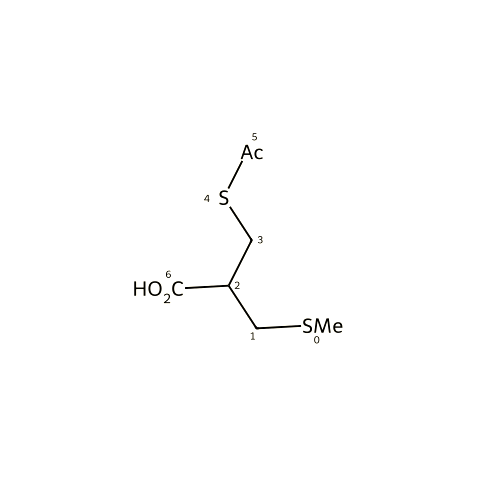 CSCC(CSC(C)=O)C(=O)O